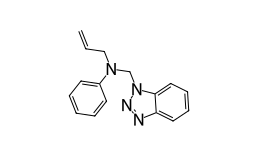 C=CCN(Cn1nnc2ccccc21)c1ccccc1